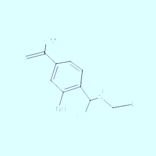 COC(=O)c1ccc(C(C)NCI)c(N)c1